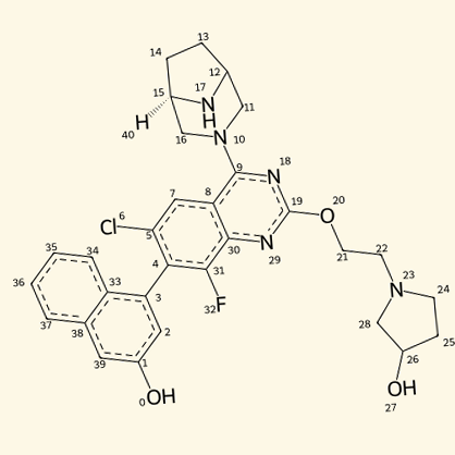 Oc1cc(-c2c(Cl)cc3c(N4CC5CC[C@H](C4)N5)nc(OCCN4CCC(O)C4)nc3c2F)c2ccccc2c1